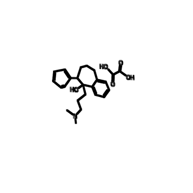 CN(C)CCCC1(O)c2ccccc2CCCC1c1ccccc1.O=C(O)C(=O)O